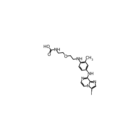 Cc1cc(Nc2nccn3c(I)cnc23)ccc1NCCOCCNC(=O)O